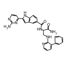 NC(=O)C(CNc1ncccc1-c1ccccc1)NC(=O)c1ccc2[nH]c(-c3ccnc(N)n3)cc2c1